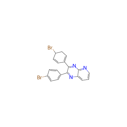 Brc1ccc(-c2nc3cccnc3nc2C2=CCC(Br)C=C2)cc1